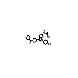 CC[C@@H]1C[C@H]1Nc1ncc2c(C3CCN(C(=O)C4CCOCC4)CC3)cn([C@H]3CC[C@H](O)CC3)c2n1